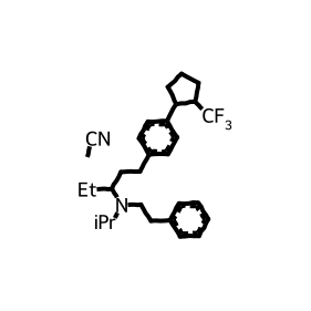 CC#N.CCC(CCc1ccc(C2CCCC2C(F)(F)F)cc1)N(CCc1ccccc1)C(C)C